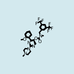 COc1ccccc1-c1nc(N2CCN(C)CC2)ncc1OC(=O)N(C)Cc1cc(C(F)(F)F)cc(C(F)(F)F)c1